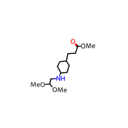 COC(=O)CCC1CCC(NCC(OC)OC)CC1